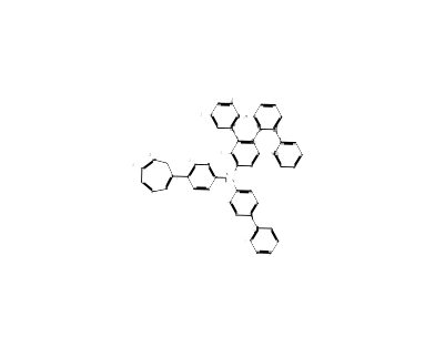 C1=CC=C(c2ccc(N(c3ccc(-c4ccccc4)cc3)c3ccc(-c4ccccc4-c4ccccc4)c(-c4ccccc4)c3)cc2)CC=C1